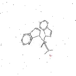 C[Si](C)=[Zr+]([CH3])([CH]1C=Cc2ccccc21)[CH]1C=Cc2ccccc21.[Br-]